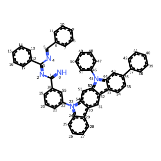 N=C(/N=C(\N=C\c1ccccc1)c1ccccc1)c1cccc(-n2c3ccccc3c3cc4c5ccc(-c6ccccc6)cc5n(-c5ccccc5)c4cc32)c1